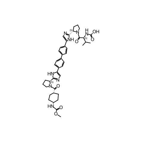 COC(=O)N[C@H]1CC[C@@H](C(=O)N2CCC[C@H]2c2ncc(-c3ccc(-c4ccc(-c5cnc([C@@H]6CCCN6C(=O)[C@@H](NC(=O)O)C(C)C)[nH]5)cc4)cc3)[nH]2)CC1